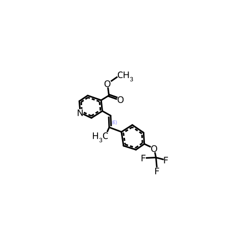 COC(=O)c1ccncc1/C=C(\C)c1ccc(OC(F)(F)F)cc1